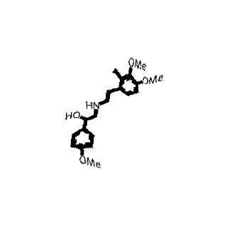 COc1ccc(C(O)CNCCc2ccc(OC)c(OC)c2C)cc1